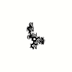 Cc1ncccc1-c1cc(Cn2ccn(C)c2=N)cc(C(=O)NCc2ncc(Cl)cn2)c1